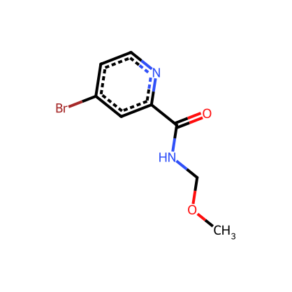 COCNC(=O)c1cc(Br)ccn1